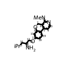 CNc1nccc2c1COc1cc(OC[C@@H](N)CC(C)C)ccc1-2